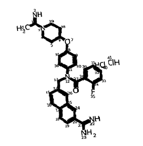 CC(=N)N1CCC(Oc2ccc(N(Cc3ccc4ccc(C(=N)N)cc4c3)C(=O)c3ccccc3F)cc2)CC1.Cl.Cl